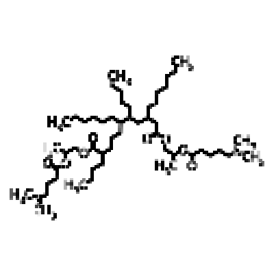 CCCCCCCC(CC(=O)OCC(C)OC(=O)CCCCN(C)C)CC(CCCCC)C(CCCCCC)CCCC(CCCC)C(=O)OCC(C)OC(=O)CCCN(C)C